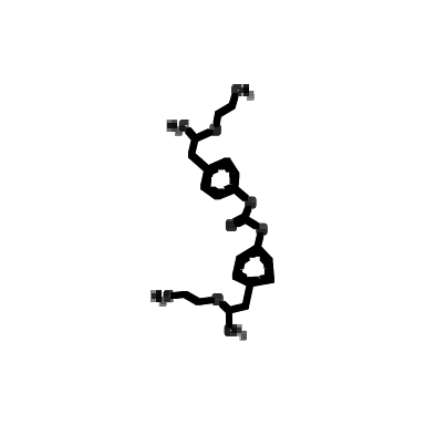 CCCOC(C)Cc1ccc(OC(=O)Oc2ccc(CC(C)OCCC)cc2)cc1